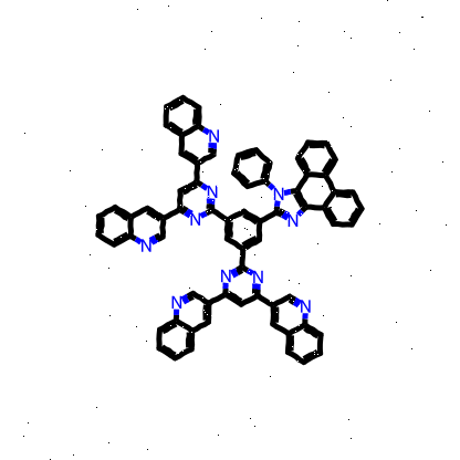 c1ccc(-n2c(-c3cc(-c4nc(-c5cnc6ccccc6c5)cc(-c5cnc6ccccc6c5)n4)cc(-c4nc(-c5cnc6ccccc6c5)cc(-c5cnc6ccccc6c5)n4)c3)nc3c4ccccc4c4ccccc4c32)cc1